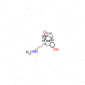 CNCCCCC[C@H]1Cc2cc(O)ccc2[C@@H]2[C@@H]1[C@@H]1CCC(=O)[C@@]1(C)C[C@@H]2F